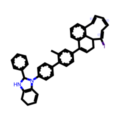 Cc1cc(C2=CCC3/C(I)=C/C=C\C=C\c4cccc2c43)ccc1-c1ccc(N2C3=C(CCC=C3)NC2c2ccccc2)cc1